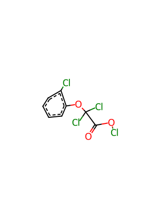 O=C(OCl)C(Cl)(Cl)Oc1ccccc1Cl